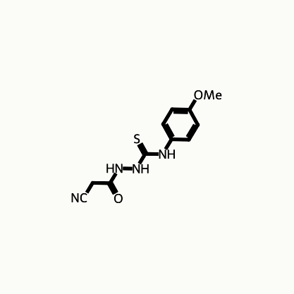 COc1ccc(NC(=S)NNC(=O)CC#N)cc1